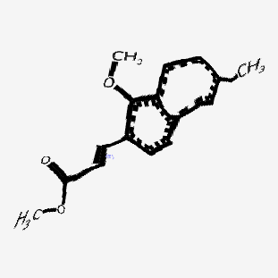 COC(=O)/C=C/c1ccc2cc(C)ccc2c1OC